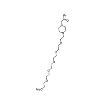 COCCOCCOCCOCCOCCOCCN1CCN(CC(=O)C(C)C)CC1